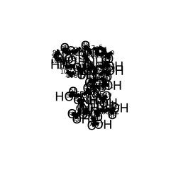 CC(=O)c1ccc(C[C@H](NC(=O)[C@@H](CCC(=O)O)NC(=O)[C@@H](CCC(=O)O)[C@@H](CCC(=O)O)NC(=O)[C@@H](CCC(=O)O)NC(=O)[C@@H](CCC(=O)O)NC(=O)[C@@H](CCC(=O)O)NC(=O)[C@@H](CCC(=O)O)NC(=O)[C@@H](CCC(=O)O)NC(=O)[C@H](N)CCC(=O)O)C(=O)NCCOCC(=O)N2CCC[C@H]2C(=O)N[C@@H](CC(C)C)C(C)=O)cc1